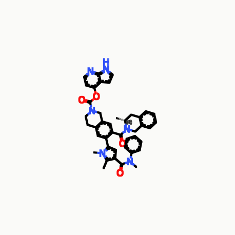 Cc1c(C(=O)N(C)c2ccccc2)cc(-c2cc3c(cc2C(=O)N2Cc4ccccc4C[C@H]2C)CN(C(=O)Oc2ccnc4[nH]ccc24)CC3)n1C